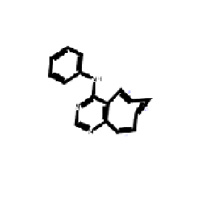 C1=C\c2ncnc(Nc3ccccc3)c2/C=C/C=C/1